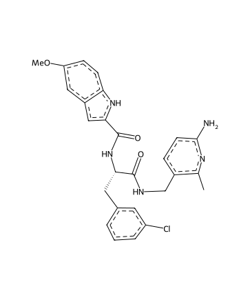 COc1ccc2[nH]c(C(=O)N[C@@H](Cc3cccc(Cl)c3)C(=O)NCc3ccc(N)nc3C)cc2c1